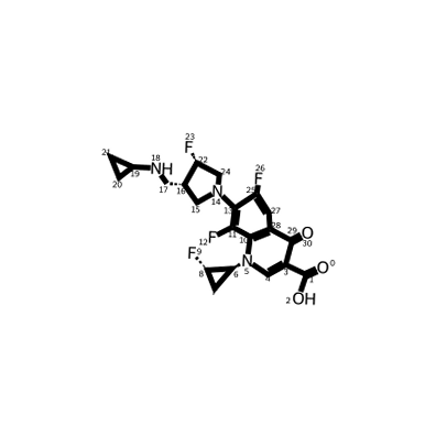 O=C(O)c1cn([C@@H]2C[C@@H]2F)c2c(F)c(N3C[C@H](CNC4CC4)[C@H](F)C3)c(F)cc2c1=O